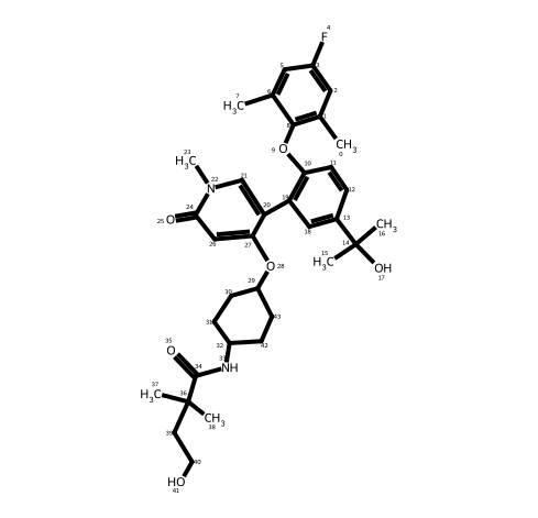 Cc1cc(F)cc(C)c1Oc1ccc(C(C)(C)O)cc1-c1cn(C)c(=O)cc1OC1CCC(NC(=O)C(C)(C)CCO)CC1